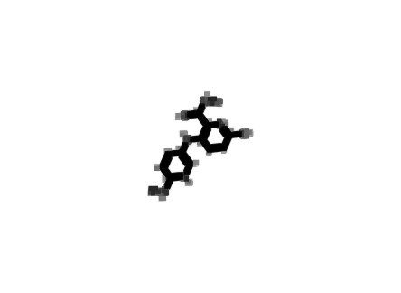 COC(=O)c1nc(Cl)ccc1Oc1ccc(SC)nc1